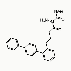 CNC(=O)N(N)C(=O)CCCc1ccccc1-c1ccc(-c2ccccc2)cc1